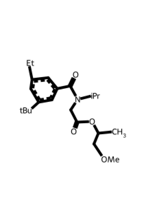 CCc1cc(C(=O)N(CC(=O)OC(C)COC)C(C)C)cc(C(C)(C)C)c1